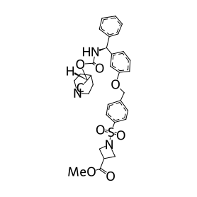 COC(=O)C1CN(S(=O)(=O)c2ccc(COc3cccc([C@@H](NC(=O)O[C@H]4CN5CCC4CC5)c4ccccc4)c3)cc2)C1